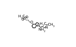 C=C(C)/N=C\C=C(/N)n1ccc2c(OCCCS(C)(=O)=O)cccc21